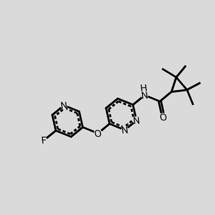 CC1(C)C(C(=O)Nc2ccc(Oc3cncc(F)c3)nn2)C1(C)C